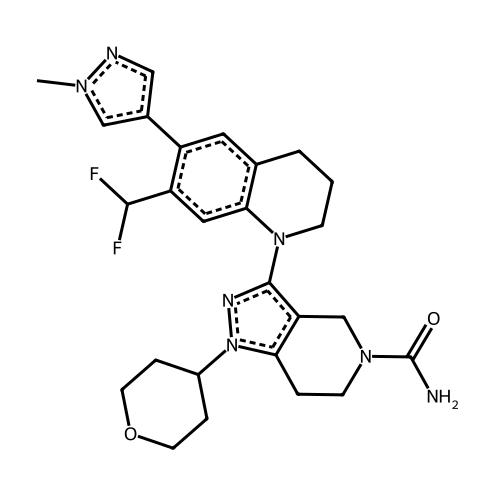 Cn1cc(-c2cc3c(cc2C(F)F)N(c2nn(C4CCOCC4)c4c2CN(C(N)=O)CC4)CCC3)cn1